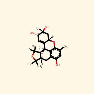 Cc1cc(O)c2c3c1O[C@H]1C[C@@](C)(O)[C@@H](O)C=C1[C@H]3[C@H]1[C@H](C2)C(C)(C)OC1(C)C